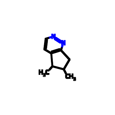 CC1Cc2nnccc2C1C